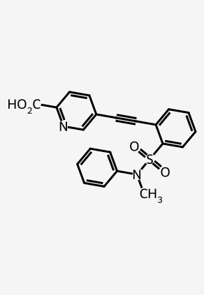 CN(c1ccccc1)S(=O)(=O)c1ccccc1C#Cc1ccc(C(=O)O)nc1